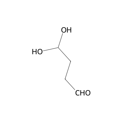 O=CCCC(O)O